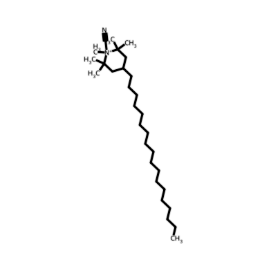 CCCCCCCCCCCCCCCCCCC1CC(C)(C)[N+](C)(C#N)C(C)(C)C1